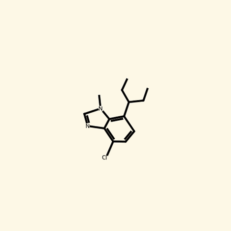 CCC(CC)c1ccc(Cl)c2ncn(C)c12